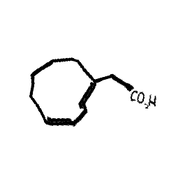 O=C(O)CC1=CC=CCCCC1